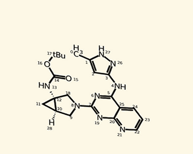 Cc1cc(Nc2nc(N3C[C@H]4C[C@@]4(NC(=O)OC(C)(C)C)C3)nc3ncccc23)n[nH]1